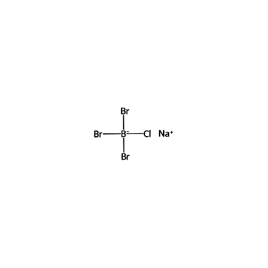 Cl[B-](Br)(Br)Br.[Na+]